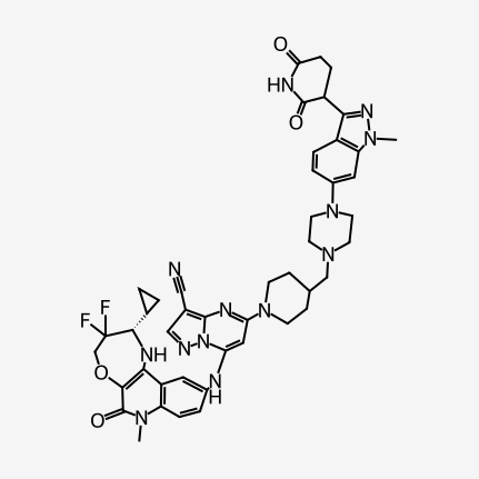 Cn1nc(C2CCC(=O)NC2=O)c2ccc(N3CCN(CC4CCN(c5cc(Nc6ccc7c(c6)c6c(c(=O)n7C)OCC(F)(F)[C@H](C7CC7)N6)n6ncc(C#N)c6n5)CC4)CC3)cc21